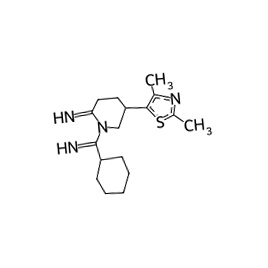 Cc1nc(C)c(C2CCC(=N)N(C(=N)C3CCCCC3)C2)s1